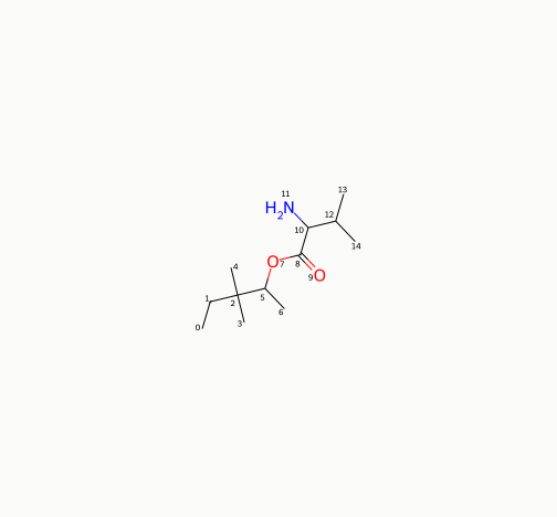 CCC(C)(C)C(C)OC(=O)C(N)C(C)C